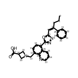 CCCC(=Cc1nnc(-c2ccc(CN3CC(C(=O)O)C3)c3ncccc23)o1)c1ccccc1